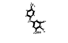 COc1cc(Oc2ccc(C(F)(F)F)cc2)cc(I)c1F